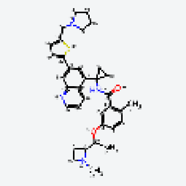 Cc1ccc(OC([SiH3])[C@@H]2CCN2C)cc1C(=O)NC1(c2cc(-c3ccc(CN4CCCC4)s3)cc3ncccc23)CC1